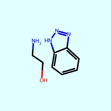 NCCO.c1ccc2[nH]nnc2c1